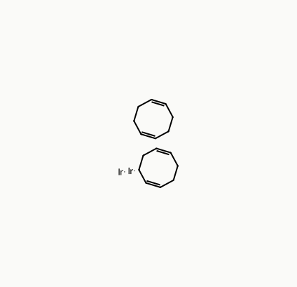 C1=CCCC=CCC1.C1=CCCC=CCC1.[Ir].[Ir]